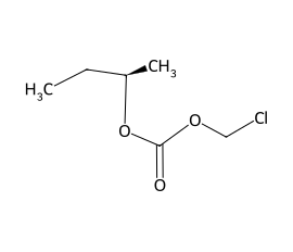 CC[C@@H](C)OC(=O)OCCl